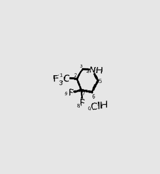 Cl.FC(F)(F)C1CNCCC1(F)F